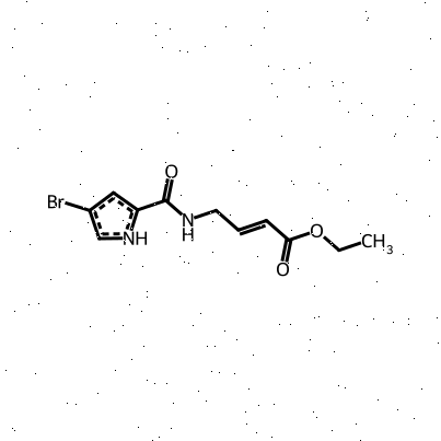 CCOC(=O)/C=C/CNC(=O)c1cc(Br)c[nH]1